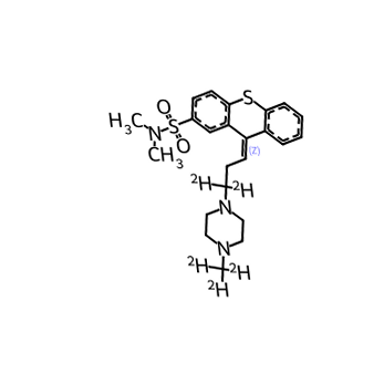 [2H]C([2H])([2H])N1CCN(C([2H])([2H])C/C=C2/c3ccccc3Sc3ccc(S(=O)(=O)N(C)C)cc32)CC1